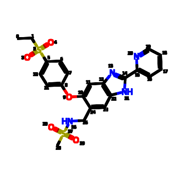 CCS(=O)(=O)c1ccc(Oc2cc3nc(-c4ccccn4)[nH]c3cc2CNS(C)(=O)=O)cc1